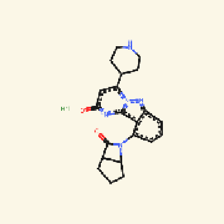 Cl.O=C1C2CCCC2N1c1cccc2nn3c(C4CCNCC4)cc(=O)[nH]c3c12